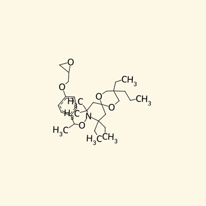 CCCC1(CC)COC2(CC(C)(C)N(OC(C)c3ccc(OCC4CO4)cc3)C(CC)(CC)C2)OC1